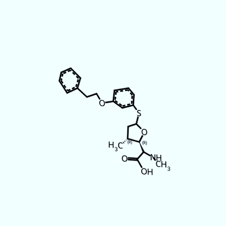 CNC(C(=O)O)[C@@H]1OC(Sc2cccc(OCCc3ccccc3)c2)C[C@H]1C